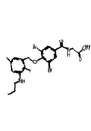 CCCNc1cc(C)cc(COc2c(Br)cc(C(=O)NCC(=O)O)cc2Br)c1F